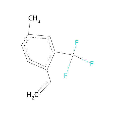 C=Cc1ccc(C)cc1C(F)(F)F